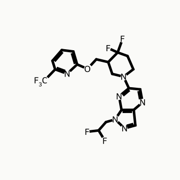 FC(F)Cn1ncc2ncc(N3CCC(F)(F)C(COc4cccc(C(F)(F)F)n4)C3)nc21